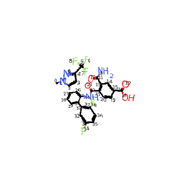 Cn1ccc(C(F)(F)F)n1.NC(=O)c1cc(C(=O)O)ccc1C(=O)Nc1ccccc1-c1cc(F)ccc1F